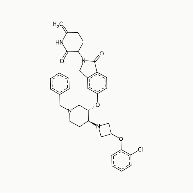 C=C1CCC(N2Cc3cc(O[C@H]4CN(Cc5ccccc5)CC[C@@H]4N4CC(Oc5ccccc5Cl)C4)ccc3C2=O)C(=O)N1